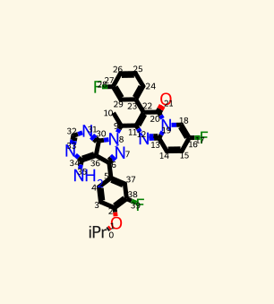 CC(C)Oc1ccc(-c2nn(C(C)c3nc4ccc(F)cn4c(=O)c3-c3cccc(F)c3)c3ncnc(N)c23)cc1F